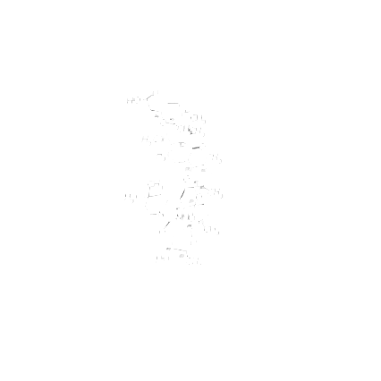 CCC(C(=O)[C@@H](C)C[C@H](C)[C@]1(C)O[C@@H](CC(=O)O)CC[C@@H]1C)[C@H]1O[C@]2(C=C[C@@H](NC(=O)N3CCC(C)(C)CC3)[C@]3(CC[C@@](C)([C@H]4CC[C@@H](O)[C@H](C)O4)O3)O2)[C@H](C)C[C@@H]1C